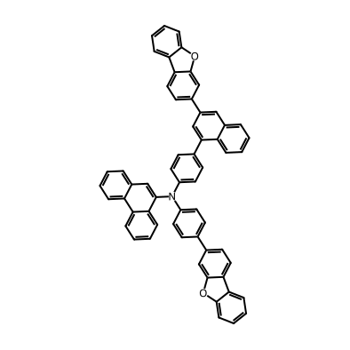 c1ccc2c(-c3ccc(N(c4ccc(-c5ccc6c(c5)oc5ccccc56)cc4)c4cc5ccccc5c5ccccc45)cc3)cc(-c3ccc4c(c3)oc3ccccc34)cc2c1